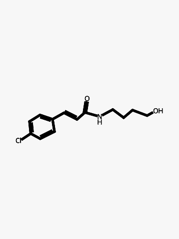 O=C(/C=C/c1ccc(Cl)cc1)NCCCCO